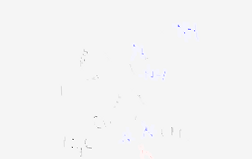 Cc1cccc(-c2nc(C3CCNCC3)[nH]c2-c2ccc3c(c2)n(C)c(=O)n3CC(C)C)c1